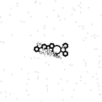 C=C1CC2c3ccccc3-c3cccc[n+]3C2CCc2ccc3c(oc4nc(-c5c(C)cccc5C)ccc43)c2C(=C)[N+]1(C)C